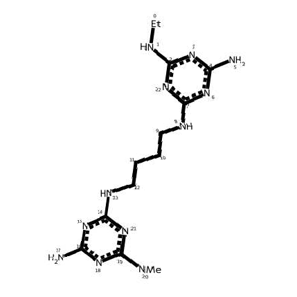 CCNc1nc(N)nc(NCCCCNc2nc(N)nc(NC)n2)n1